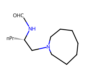 CCC[C@@H](CN1CCCCCCC1)NC=O